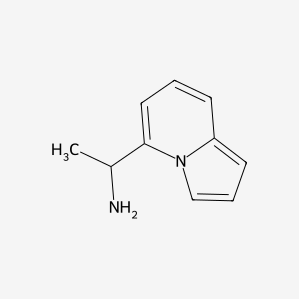 CC(N)c1cccc2cccn12